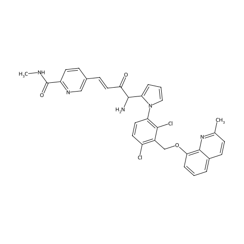 CNC(=O)c1ccc(/C=C/C(=O)C(N)c2cccn2-c2ccc(Cl)c(COc3cccc4ccc(C)nc34)c2Cl)cn1